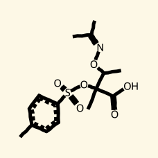 CC(C)=NOC(C)C(C)(OS(=O)(=O)c1ccc(C)cc1)C(=O)O